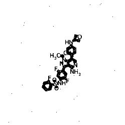 CC(C)n1nc(-c2cc(F)c(NS(=O)(=O)c3ccccc3F)cc2F)c2c(N)ncc(-c3ccc(NC4COC4)cc3)c21